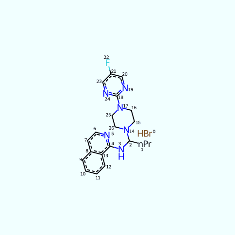 Br.CCCC(Nc1nccc2ccccc12)N1CCN(c2ncc(F)cn2)CC1